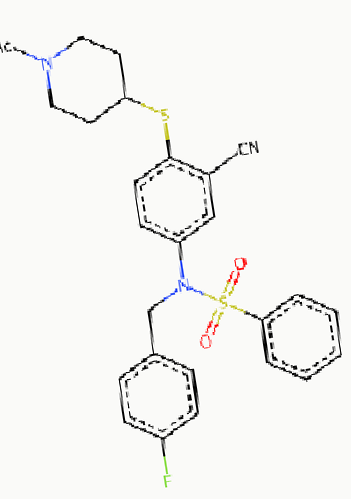 CC(=O)N1CCC(Sc2ccc(N(Cc3ccc(F)cc3)S(=O)(=O)c3ccccc3)cc2C#N)CC1